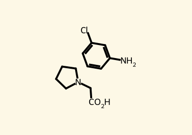 Nc1cccc(Cl)c1.O=C(O)CN1CCCC1